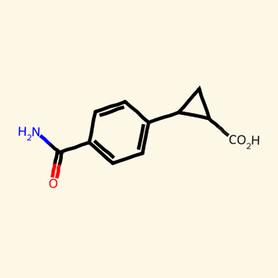 NC(=O)c1ccc(C2CC2C(=O)O)cc1